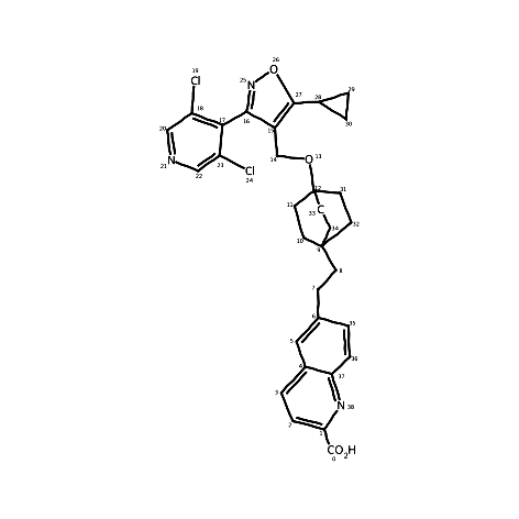 O=C(O)c1ccc2cc(CCC34CCC(OCc5c(-c6c(Cl)cncc6Cl)noc5C5CC5)(CC3)CC4)ccc2n1